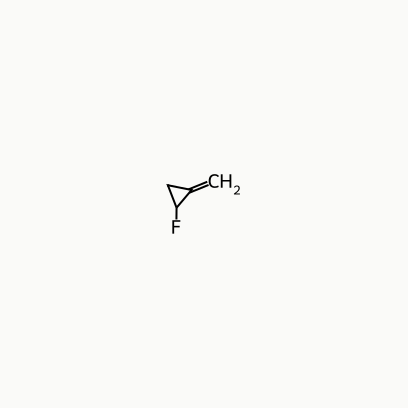 C=C1CC1F